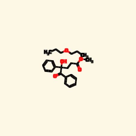 CCCOCCC.COC(=O)CCC(O)(C(=O)c1ccccc1)c1ccccc1